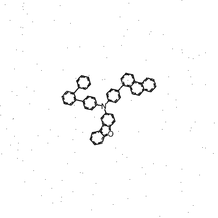 c1ccc(-c2ccccc2-c2ccc(N(c3ccc(-c4cccc5c4ccc4ccccc45)cc3)c3ccc4oc5ccccc5c4c3)cc2)cc1